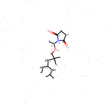 CBC(BC(C)C)BC(C)(C)COB(C)N1C(=O)CCC1=O